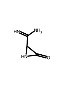 N=C(N)C1NC1=O